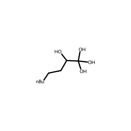 CCCCCCC(O)C(O)(O)O